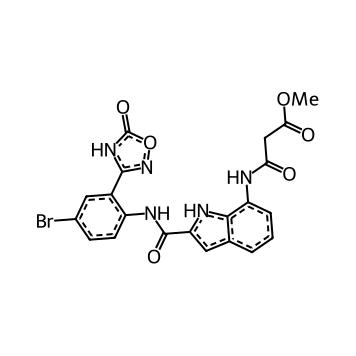 COC(=O)CC(=O)Nc1cccc2cc(C(=O)Nc3ccc(Br)cc3-c3noc(=O)[nH]3)[nH]c12